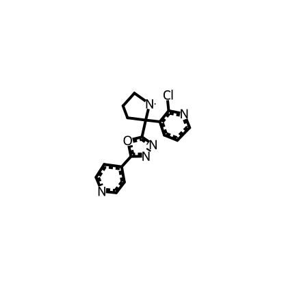 Clc1ncccc1C1(c2nnc(-c3ccncc3)o2)CCC[N]1